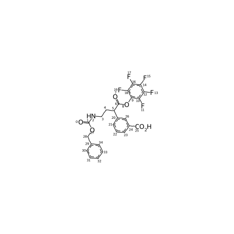 O=C(NCCC(C(=O)Oc1c(F)c(F)c(F)c(F)c1F)c1cccc(C(=O)O)c1)OCc1ccccc1